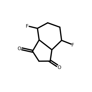 O=C1CC(=O)C2C(F)CCC(F)C12